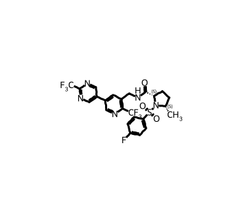 C[C@H]1CC[C@@H](C(=O)NCc2cc(-c3cnc(C(F)(F)F)nc3)cnc2C(F)(F)F)N1S(=O)(=O)c1ccc(F)cc1